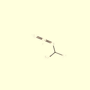 CCC(Br)N=[N+]=[N-]